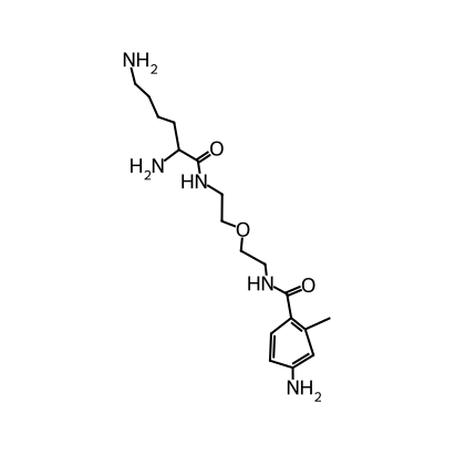 Cc1cc(N)ccc1C(=O)NCCOCCNC(=O)C(N)CCCCN